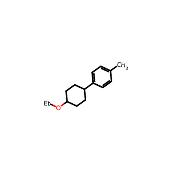 CCOC1CCC(c2ccc(C)cc2)CC1